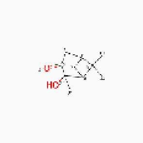 CC1(O)C(=O)CC2CC1C2(C)C